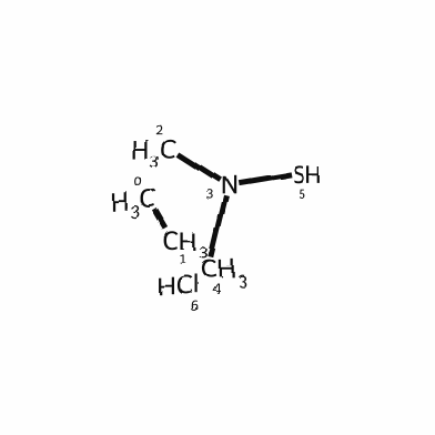 CC.CN(C)S.Cl